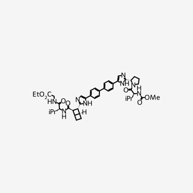 CCOC(=O)CNC(=O)[C@@H](NC(=O)[C@@H]1C2CC[C@@H]2[C@H]1c1ncc(-c2ccc(-c3ccc(-c4cnc([C@@H]5CCCN5C(=O)[C@@H](NC(=O)OC)C(C)C)[nH]4)cc3)cc2)[nH]1)C(C)C